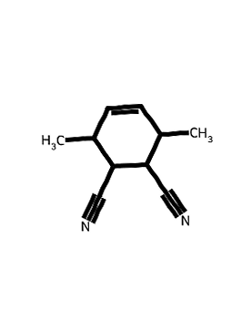 CC1C=CC(C)C(C#N)C1C#N